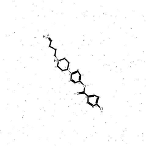 C=CCCC[Si@H]1CC[C@H](c2ccc(OC(=O)c3ccc(Cl)cc3)cc2)CC1